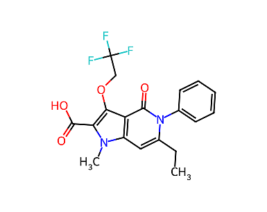 CCc1cc2c(c(OCC(F)(F)F)c(C(=O)O)n2C)c(=O)n1-c1ccccc1